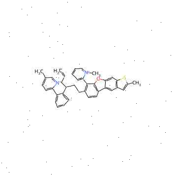 C=CC1C(CCc2ccc3c(oc4cc5sc(C)cc5cc43)c2-c2cccc[n+]2C)c2ccccc2-c2ccc(C)c[n+]21